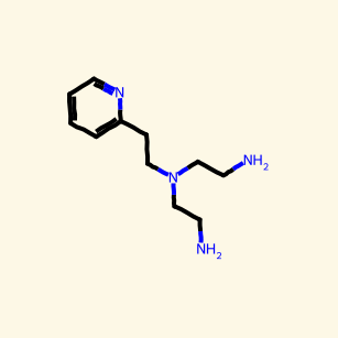 NCCN(CCN)CCc1ccccn1